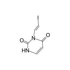 O=c1cc[nH]c(=O)n1C=CI